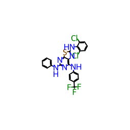 FC(F)(F)c1ccc(Nc2nc(Nc3ccccc3)nc3sc(Nc4c(Cl)cccc4Cl)nc23)cc1